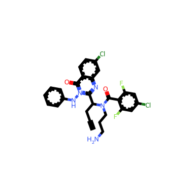 C#CCC(c1nc2cc(Cl)ccc2c(=O)n1Nc1ccccc1)N(CCCN)C(=O)c1c(F)cc(Cl)cc1F